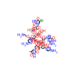 COC1[C@@H](OP(=O)(S)OC[C@H]2O[C@@H](n3cnc4c(=O)[nH]c(N)nc43)C[C@H]2OP(=O)(S)OC[C@H]2O[C@@H](n3cc(C)c(=O)[nH]c3=O)C[C@H]2OP(=S)(OCCOCCOCCN)OC[C@H]2O[C@@H](n3ccc(N)nc3=O)C[C@H]2C(C)C)[C@@H](COP(=O)(S)O[C@@H]2C(OC)[C@H](n3cc(Br)c(=O)[nH]c3=O)O[C@@H]2CO)O[C@H]1n1ccc(N)nc1=O